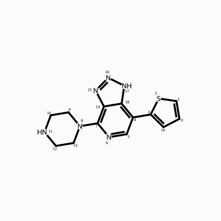 c1csc(-c2cnc(N3CCNCC3)c3nn[nH]c23)c1